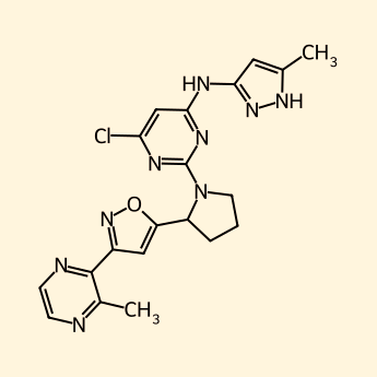 Cc1cc(Nc2cc(Cl)nc(N3CCCC3c3cc(-c4nccnc4C)no3)n2)n[nH]1